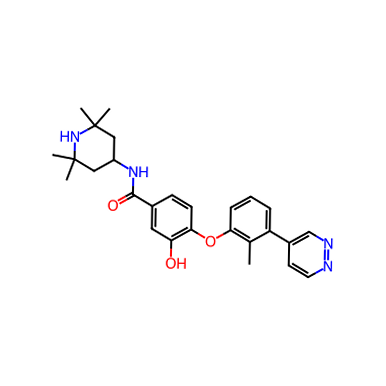 Cc1c(Oc2ccc(C(=O)NC3CC(C)(C)NC(C)(C)C3)cc2O)cccc1-c1ccnnc1